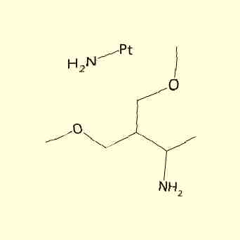 COCC(COC)C(C)N.[NH2][Pt]